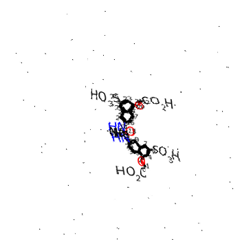 O=C(O)COc1cc(S(=O)(=O)O)cc2cc(NC(=O)Nc3ccc4c(OCC(=O)O)cc(S(=O)(=O)O)cc4c3)ccc12.[Na].[Na]